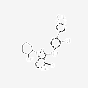 Cn1cc(-c2ccc(Nc3nn(C4CCCCC4C#N)c4cc[nH]c(=O)c34)cc2Cl)cn1